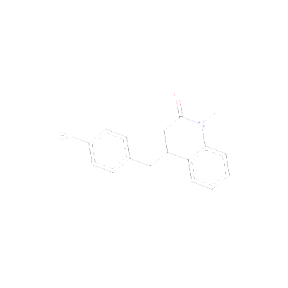 CN1C(=O)CC(Cc2ccc(Br)cc2)c2ccccc21